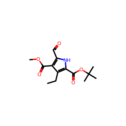 CCc1c(C(=O)OC(C)(C)C)[nH]c(C=O)c1C(=O)OC